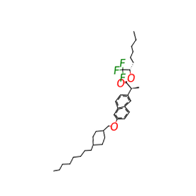 CCCCCCCCC1CCC(COc2ccc3cc([C@H](C)C(=O)O[C@@H](CCCCCC)C(F)(F)F)ccc3c2)CC1